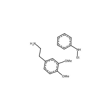 CCNc1ccccc1.COc1ccc(CCN)cc1OC